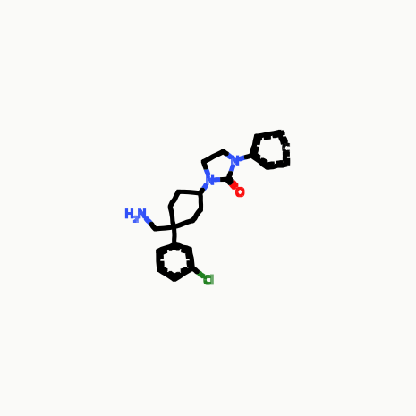 NCC1(c2cccc(Cl)c2)CCC(N2CCN(c3ccccc3)C2=O)CC1